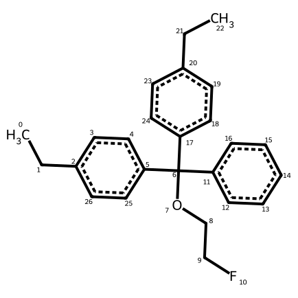 CCc1ccc(C(OCCF)(c2ccccc2)c2ccc(CC)cc2)cc1